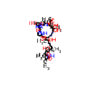 CC[C@H]1C[C@H](C)[C@@]2(NC1=O)O[C@@H](C[C@H](O)[C@@H](C)CC/C=C/C(O)C(C)[C@@H]1C/C=C/C=C/[C@H](O)[C@H](C)[C@@H](O)[C@@H](CCC(C)=O)C(=O)N[C@@H](C(C)C)C(=O)N[C@@H](Cc3cccc(O)c3)C(=O)N3CCCC(N3)C(=O)O1)[C@H](C)C=C2C